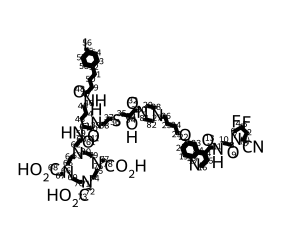 N#C[C@H]1CC(F)(F)CN1C(=O)CNC(=O)c1ccnc2ccc(OCCCCN3CCN(C(=O)[C@H](O)CSCCNC(=O)[C@H](CCCNC(=O)CCCc4ccc(I)cc4)NC(=O)CN4CCN(CC(=O)O)CCN(CC(=O)O)CCN(CC(=O)O)CC4)CC3)cc12